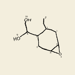 CC1CC2OC2CC1C(O)O